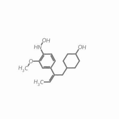 CC=C(CC1CCC(O)CC1)c1ccc(NO)c(OC)c1